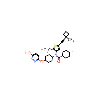 C[C@H]1CC[C@H](C(=O)N(c2cc(C#CC3(C(F)(F)F)CCC3)sc2C(=O)O)[C@H]2CC[C@H](Oc3ccc(O)nn3)CC2)CC1